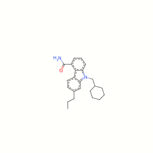 CCCc1c[c]c2c3c(C(N)=O)cccc3n(CC3CCCCC3)c2c1